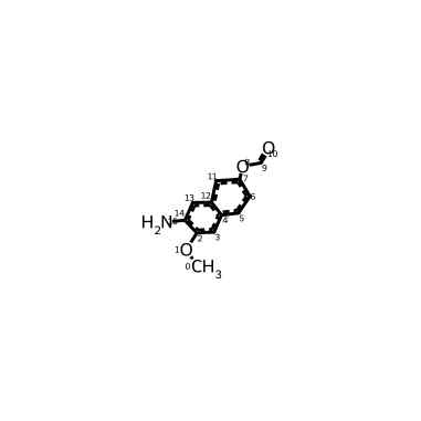 COc1cc2ccc(OC=O)cc2cc1N